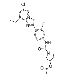 CCc1cc(Cl)nn2cc(-c3ccc(NC(=O)N4CC[C@@H](OC(C)=O)C4)cc3F)nc12